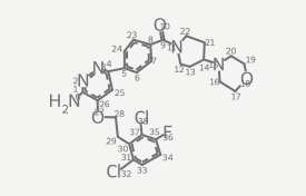 Nc1nnc(-c2ccc(C(=O)N3CCC(N4CCOCC4)CC3)cc2)cc1OCCc1c(Cl)ccc(F)c1Cl